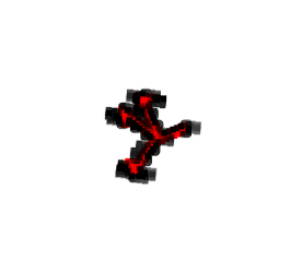 CC(=O)NC1C(OCCCCC(=O)NCCCNC(=O)CCOCC(COCCC(=O)NCCCNC(=O)CCCCOC2OC(CO)C(O)C(O)C2NC(C)=O)(COCCC(=O)NCCCNC(=O)CCCCOC(OC(CO)[C@H](C)O)[C@H](CO)NC(C)=O)NC(=O)CCCCCCCCCCC(=O)O)OC(CO)C(O)C1O